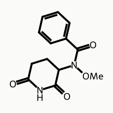 CON(C(=O)c1ccccc1)C1CCC(=O)NC1=O